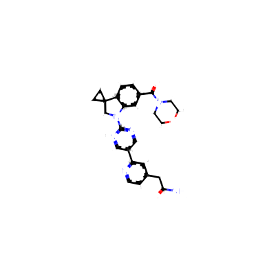 NC(=O)Cc1ccnc(-c2cnc(N3CC4(CC4)c4ccc(C(=O)N5CCOCC5)cc43)nc2)c1